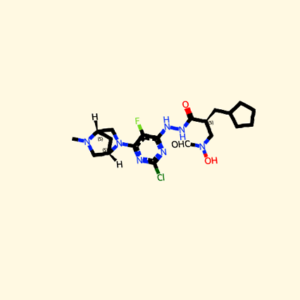 CN1C[C@@H]2C[C@H]1CN2c1nc(Cl)nc(NNC(=O)[C@@H](CC2CCCC2)CN(O)C=O)c1F